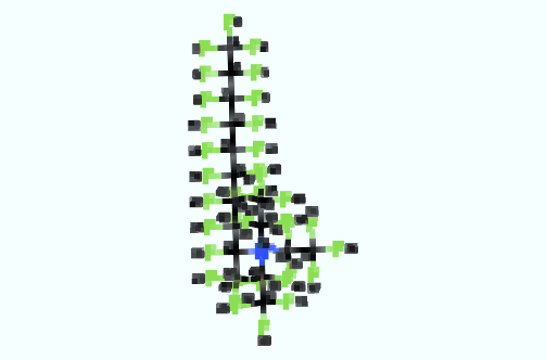 FC(F)(F)C(F)(F)C(F)(F)C(F)(F)C(F)(F)C(F)(F)C(F)(F)C(F)(F)C(F)(C(F)(F)F)[N+](C(F)(F)C(F)(F)F)(C(F)(F)C(F)(F)F)C(F)(F)C(F)(F)F